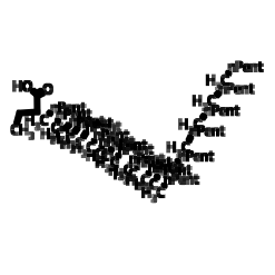 CCCC(=O)O.CCCCCC.CCCCCC.CCCCCC.CCCCCC.CCCCCC.CCCCCC.CCCCCC.CCCCCC.CCCCCC.CCCCCC.CCCCCC.CCCCCC.CCCCCC.CCCCCC.CCCCCC.CCCCCC.CCCCCC.CCCCCC.CCCCCC